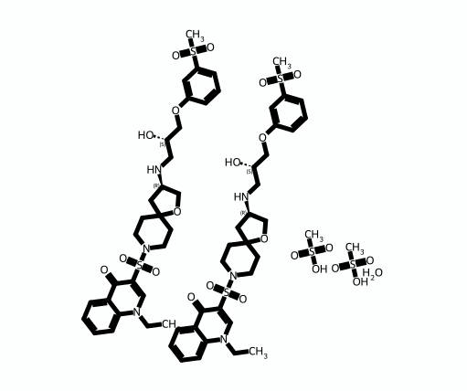 CCn1cc(S(=O)(=O)N2CCC3(CC2)C[C@@H](NC[C@H](O)COc2cccc(S(C)(=O)=O)c2)CO3)c(=O)c2ccccc21.CCn1cc(S(=O)(=O)N2CCC3(CC2)C[C@@H](NC[C@H](O)COc2cccc(S(C)(=O)=O)c2)CO3)c(=O)c2ccccc21.CS(=O)(=O)O.CS(=O)(=O)O.O